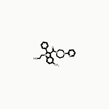 Cc1ccc2c(c1)c(C(=O)N1CCCN(c3ccccn3)CC1)c(-c1ccccc1)n2CCO